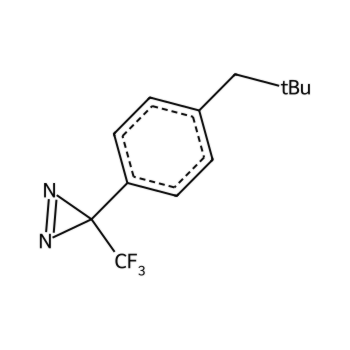 CC(C)(C)Cc1ccc(C2(C(F)(F)F)N=N2)cc1